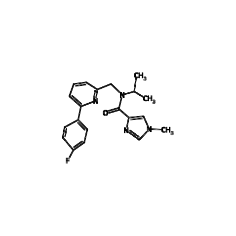 CC(C)N(Cc1cccc(-c2ccc(F)cc2)n1)C(=O)c1cn(C)cn1